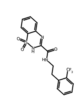 O=C(NCCc1ccccc1C(F)(F)F)C1=Nc2ccccc2S(=O)(=O)N1